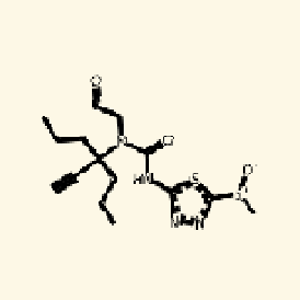 C#CC(CCC)(CCC)N(CC=O)C(=O)Nc1nnc([S+](C)[O-])s1